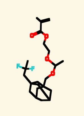 C=C(C)C(=O)OCCOC(C)OCC12CC3CC(C1)CC(CC(C)(F)F)(C3)C2